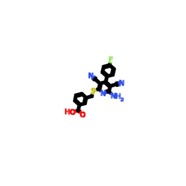 N#Cc1c(N)nc(SCc2cccc(C(=O)O)c2)c(C#N)c1-c1ccc(F)cc1